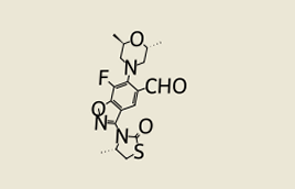 C[C@@H]1CN(c2c(C=O)cc3c(N4C(=O)SC[C@@H]4C)noc3c2F)C[C@@H](C)O1